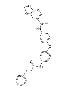 O=C(COc1ccccc1)Nc1ccc(OC2=CCC(NC(=O)c3ccc4c(c3)OCO4)C=C2)cc1